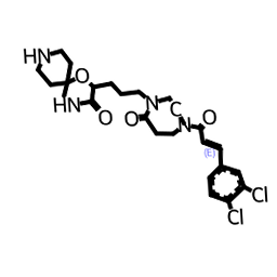 O=C1NCC2(CCNCC2)OC1CCCN1CCN(C(=O)/C=C/c2ccc(Cl)c(Cl)c2)CCC1=O